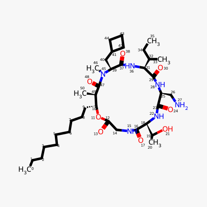 CCCCCCCCCC[C@H]1OC(=O)CNC(=O)[C@H](C(C)O)NC(=O)[C@H](CN)NC(=O)[C@H](C(C)CC)NC(=O)[C@H](CC2CCC2)N(C)C(=O)[C@@H]1C